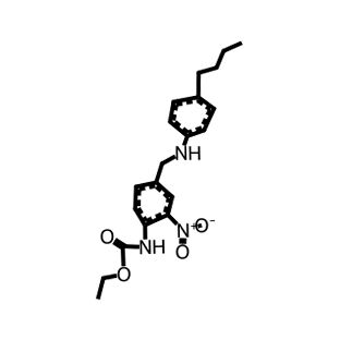 CCCCc1ccc(NCc2ccc(NC(=O)OCC)c([N+](=O)[O-])c2)cc1